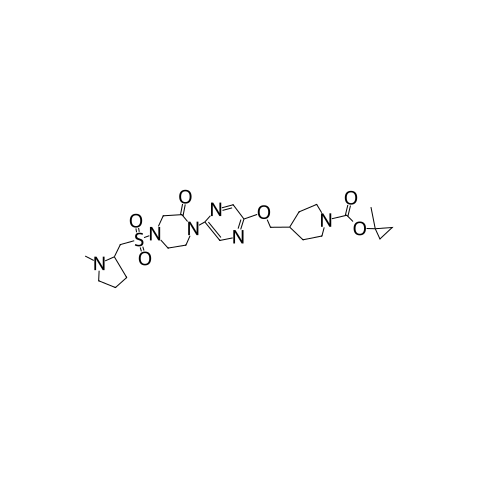 CN1CCCC1CS(=O)(=O)N1CCN(c2cnc(OCC3CCN(C(=O)OC4(C)CC4)CC3)cn2)C(=O)C1